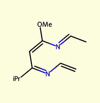 C=C\N=C(/C=C(\N=C\C)OC)C(C)C